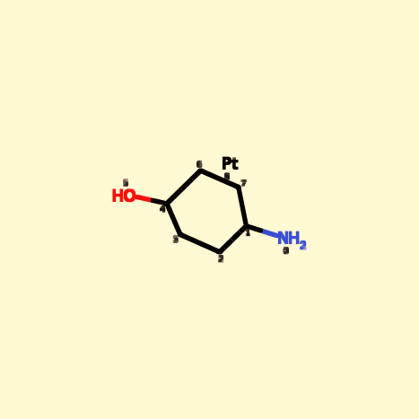 NC1CCC(O)CC1.[Pt]